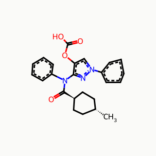 C[C@H]1CC[C@H](C(=O)N(c2ccccc2)c2nn(-c3ccccc3)cc2OC(=O)O)CC1